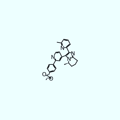 Cc1cccc(-c2nc3n(c2-c2ccnc(-c4ccc(S(C)(=O)=O)cc4)c2)[C@H](C)CCC3)n1